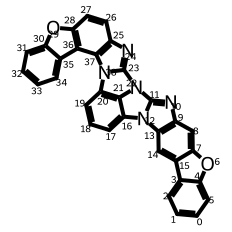 c1ccc2c(c1)oc1cc3nc4n(c3cc12)c1cccc2c1n4c1nc3ccc4oc5ccccc5c4c3n21